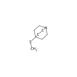 [CH2]SC12CCN(CC1)CC2